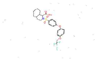 O=C(O)C1C2CCCCC2CCN1S(=O)(=O)c1ccc(Oc2ccc(OCC(F)(F)F)cc2)cc1